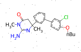 CCCCOc1ccc(-c2cccc(C3(C)CC(=O)N(C)C(N)=N3)c2)cc1Cl